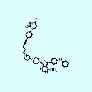 Nc1ncnc2c1c(-c1ccc(Oc3ccccc3)cc1)nn2C1CCN(C2CCN(CCCC#Cc3ccc(N4CCC(=O)NC4=O)cc3)C2)CC1